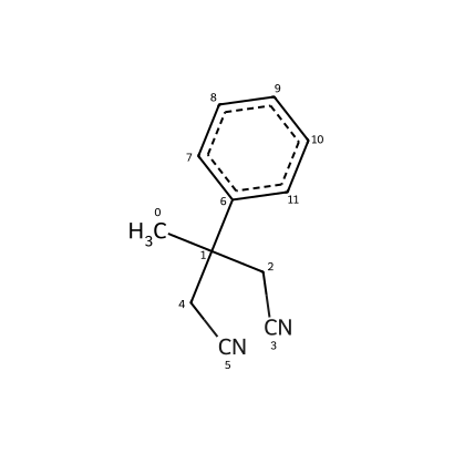 CC(CC#N)(CC#N)c1ccccc1